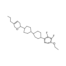 CCCC1=CCC(C2CCC(C3CCC(c4ccc(OCC)c(F)c4F)CC3)CC2)OC1